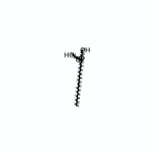 CCCCCCCCCCCCCCCCCCCCCCCN(OCCCO)OCCCO